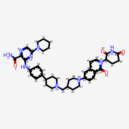 NC(=O)c1ncc(N2CCCCC2)nc1Nc1ccc(C2CCN(CC3CCN(c4ccc5c(=O)n(C6CCC(=O)NC6=O)ccc5c4)CC3)CC2)cc1